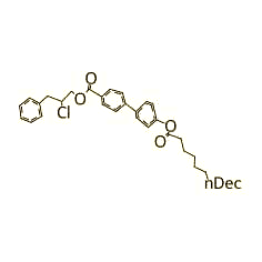 CCCCCCCCCCCCCCCC(=O)Oc1ccc(-c2ccc(C(=O)OCC(Cl)Cc3ccccc3)cc2)cc1